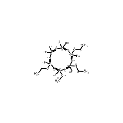 CCOP1(F)=NP(F)(F)=NP(F)(F)=NP(F)(OCC)=NP(F)(OCC)=NP(F)(OC)=N1